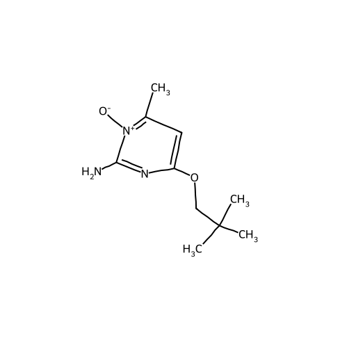 Cc1cc(OCC(C)(C)C)nc(N)[n+]1[O-]